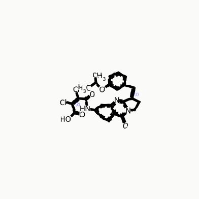 CC(C)Oc1cccc(/C=C2/CCn3c2nc2cc(NC(=O)/C(Cl)=C(/Cl)C(=O)O)ccc2c3=O)c1